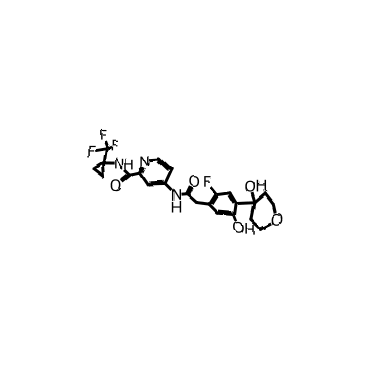 O=C(Cc1cc(O)c(C2(O)CCOCC2)cc1F)Nc1ccnc(C(=O)NC2(C(F)(F)F)CC2)c1